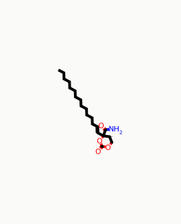 CCCCCCCCCCCCCC=CC1(C(N)=O)[CH]COC(=O)O1